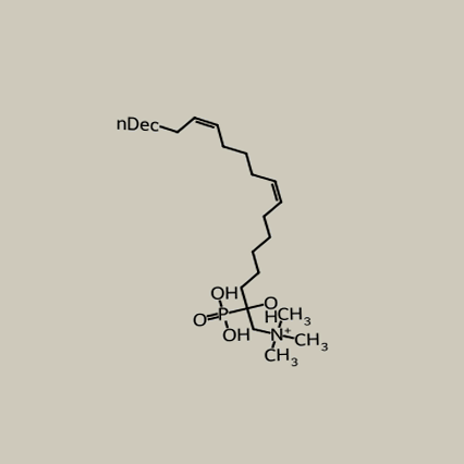 CCCCCCCCCCC/C=C\CCC/C=C\CCCCCC(O)(C[N+](C)(C)C)P(=O)(O)O